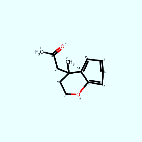 CC1(CC(=O)C(F)(F)F)CCOc2ccccc21